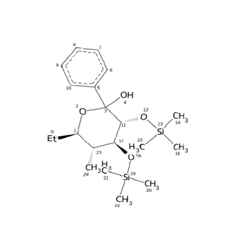 CC[C@H]1OC(O)(c2ccccc2)[C@H](O[Si](C)(C)C)[C@@H](O[Si](C)(C)C)[C@@H]1C